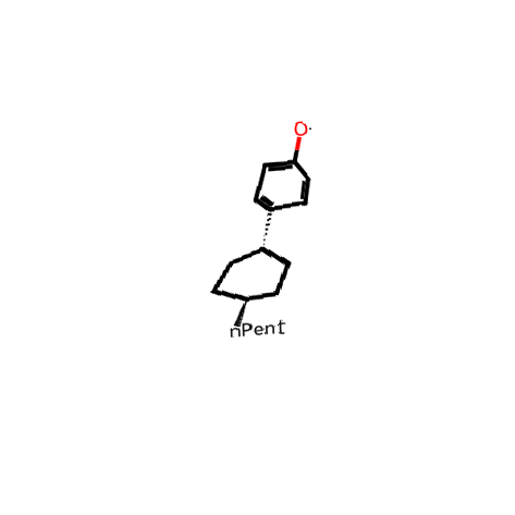 CCCCC[C@H]1CC[C@H](c2ccc([O])cc2)CC1